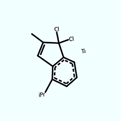 CC1=Cc2c(C(C)C)cccc2C1(Cl)Cl.[Ti]